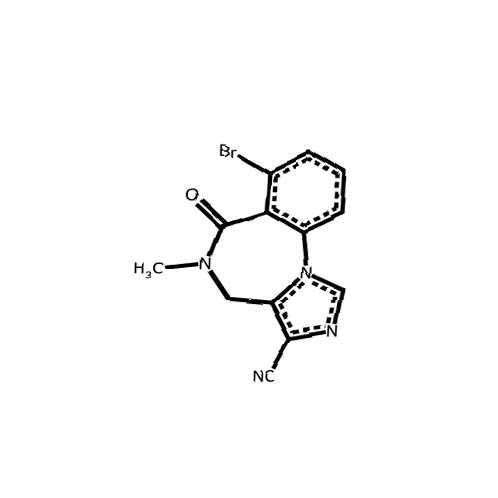 CN1Cc2c(C#N)ncn2-c2cccc(Br)c2C1=O